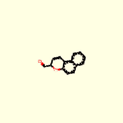 O=CC1C=Cc2c(ccc3ccccc23)O1